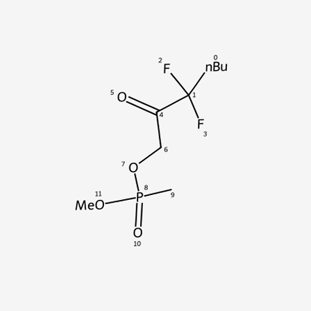 CCCCC(F)(F)C(=O)COP(C)(=O)OC